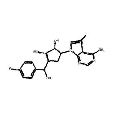 Nc1ncnc2c1c(F)cn2C1CC(C(O)c2ccc(F)cc2)[C@@H](O)[C@H]1O